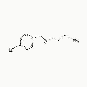 N#Cc1ccc(CNCCCN)cn1